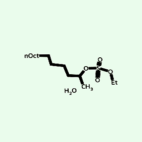 CCCCCCCCCCCCC(C)OS(=O)(=O)OCC.O